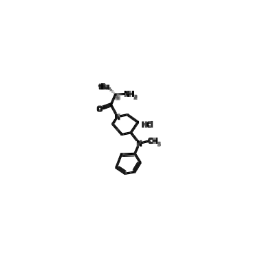 CN(c1ccccc1)C1CCN(C(=O)[C@@H](N)C(C)(C)C)CC1.Cl